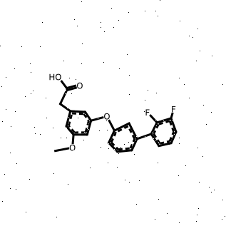 COc1cc(CC(=O)O)cc(Oc2cccc(-c3cccc(F)c3F)c2)c1